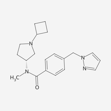 CN(C(=O)c1ccc(Cn2cccn2)cc1)[C@@H]1CCN(C2CCC2)C1